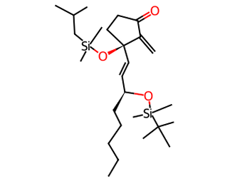 C=C1C(=O)CC[C@]1(/C=C/[C@H](CCCCC)O[Si](C)(C)C(C)(C)C)O[Si](C)(C)CC(C)C